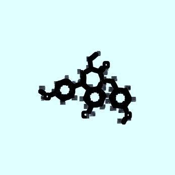 CCC1N=C(c2ccc(OC)cc2)c2cc(Cl)ccc2N(Cc2ccc(OC)cc2)C1=O